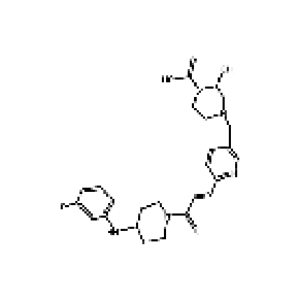 C[C@H]1CN(Cc2ccc(C=CC(=O)N3CCC(Nc4cccc(F)c4)CC3)nc2)CCN1C(=O)O